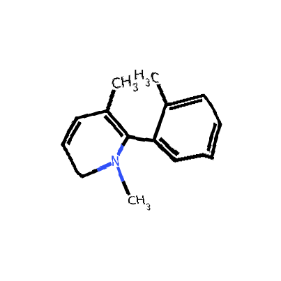 CC1=C(c2ccccc2C)N(C)CC=C1